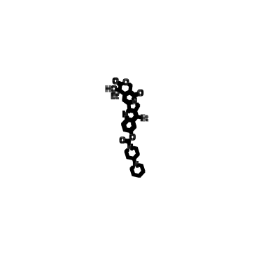 CCc1c2c(nc3ccc(OC(=O)N4CCC(N5CCCCC5)CC4)cc13)-c1cc3c(c(=O)n1C2)COC(=O)[C@@]3(O)CC